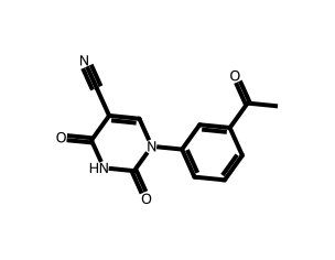 CC(=O)c1cccc(-n2cc(C#N)c(=O)[nH]c2=O)c1